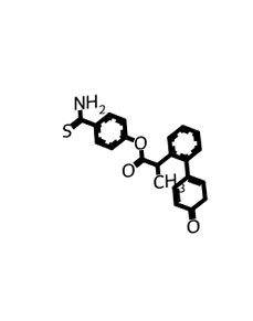 CC(C(=O)Oc1ccc(C(N)=S)cc1)c1ccccc1C1=CCC(=O)C=C1